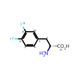 N[C@H](Cc1ccc(F)c(F)c1)C(=O)O